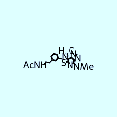 CNc1nc2sc(-c3cccc(CCNC(C)=O)c3)nc2c2c1ncn2C